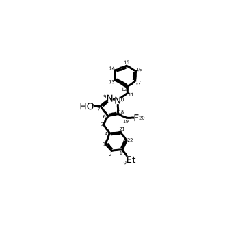 CCc1ccc(Cc2c(O)nn(Cc3ccccc3)c2CF)cc1